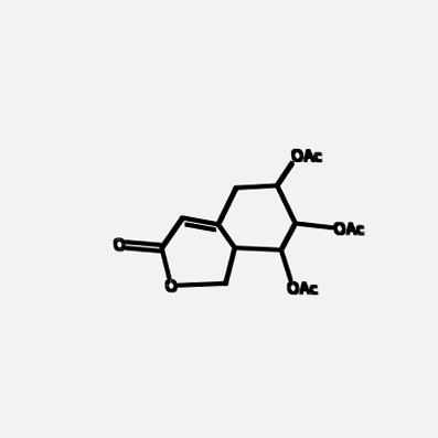 CC(=O)OC1CC2=CC(=O)OCC2C(OC(C)=O)C1OC(C)=O